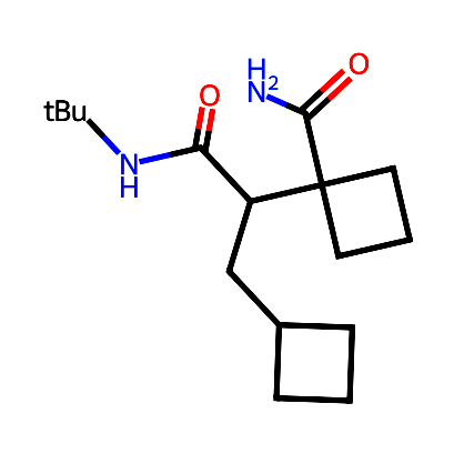 CC(C)(C)NC(=O)C(CC1CCC1)C1(C(N)=O)CCC1